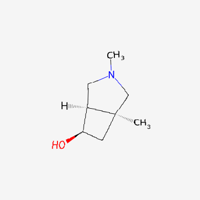 CN1C[C@@H]2[C@H](O)C[C@]2(C)C1